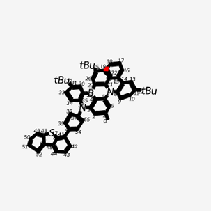 Cc1cc2c3c(c1)N(c1ccc(C(C)(C)C)cc1-c1ccccc1)c1ccc(C(C)(C)C)cc1B3c1cc(C(C)(C)C)ccc1N2c1ccc(-c2cccc3c2sc2ccccc23)cc1